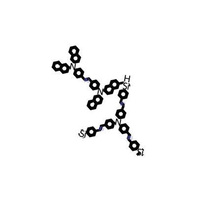 C[SiH](Cc1ccc2cc(N(c3ccc(/C=C/c4ccc(N(c5ccc6ccccc6c5)c5ccc6ccccc6c5)cc4)cc3)c3ccc4ccccc4c3)ccc2c1)c1ccc(/C=C/c2ccc(N(c3ccc(/C=C/c4ccc([Si](C)(C)C)cc4)cc3)c3ccc(/C=C/c4ccc([Si](C)(C)C)cc4)cc3)cc2)cc1